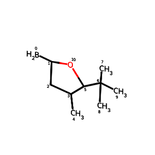 BC1CC(C)C(C(C)(C)C)O1